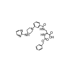 O=C(N[C@@H](CNC(=O)c1cccc(N2CCC(Nc3ncccn3)CC2)c1)C(=O)O)OCc1ccccc1